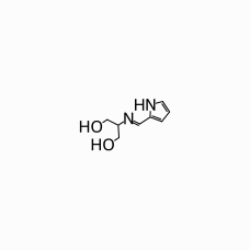 OCC(CO)/N=C/c1ccc[nH]1